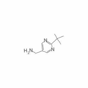 CC(C)(C)c1ncc(CN)cn1